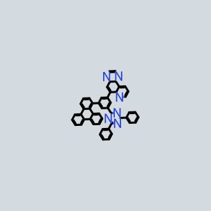 c1ccc(-c2nc(-c3ccccc3)nc(-c3cc(-c4cc5nccnc5c5cccnc45)cc(-c4cccc5c6ccccc6c6ccccc6c45)c3)n2)cc1